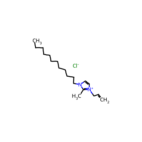 C=CC[n+]1ccn(CCCCCCCCCCCC)c1C.[Cl-]